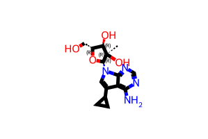 C[C@@]1(O)[C@H](O)[C@@H](CO)O[C@H]1n1cc(C2CC2)c2c(N)ncnc21